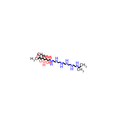 CCC(C)NCCNCCNCCNCCNCCNC(=O)[C@H](O)[C@@H](O)[C@H](O)[C@H](O)C(=O)C(C)(CC)OC